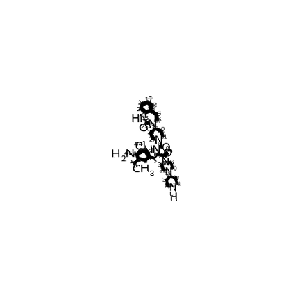 CCc1cc(C[C@@H](NC(=O)N2CCC(N3CCc4ccccc4NC3=O)CC2)C(=O)N2CCN(C3CCNCC3)CC2)cc(Cl)c1N